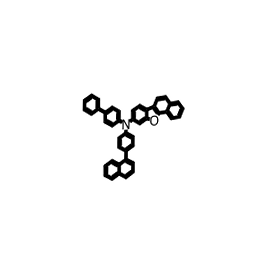 c1ccc(-c2ccc(N(c3ccc(-c4cccc5ccccc45)cc3)c3ccc4c(c3)oc3c5ccccc5ccc43)cc2)cc1